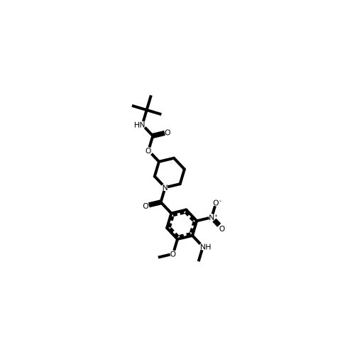 CNc1c(OC)cc(C(=O)N2CCCC(OC(=O)NC(C)(C)C)C2)cc1[N+](=O)[O-]